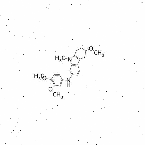 COc1ccc(Nc2ccc3c4c(n(C)c3c2)CCC(OC)C4)cc1OC